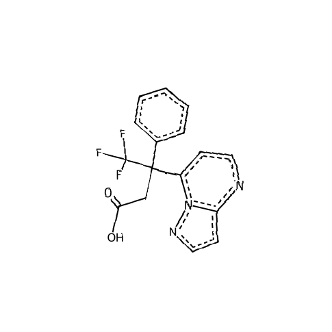 O=C(O)CC(c1ccccc1)(c1ccnc2ccnn12)C(F)(F)F